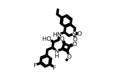 CCc1ccc2c(c1)C(NCC(O)C(Cc1cc(F)cc(F)c1)Nc1c(OC)c(=O)c1=O)CS(=O)(=O)C2